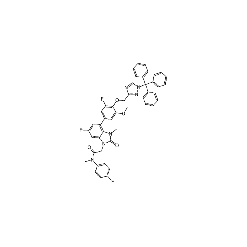 COc1cc(-c2cc(F)cc3c2n(C)c(=O)n3CC(=O)N(C)c2ccc(F)cc2)cc(F)c1OCc1ncn(C(c2ccccc2)(c2ccccc2)c2ccccc2)n1